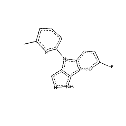 Cc1cccc(-n2c3ccc(F)cc3c3[nH]ncc32)n1